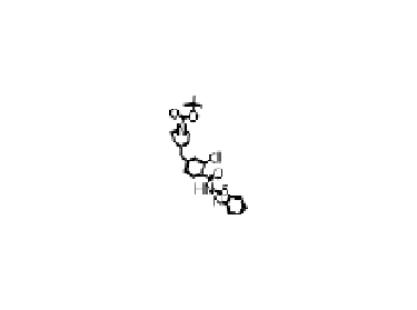 CC(C)(C)OC(=O)N1CCC(=Cc2ccc(C(=O)Nc3nc4ccccc4s3)c(Cl)c2)CC1